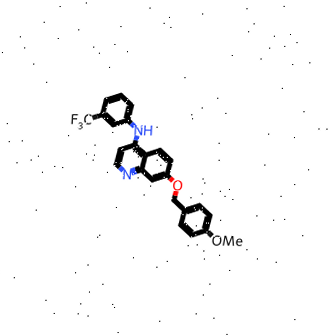 COc1ccc(COc2ccc3c(Nc4cccc(C(F)(F)F)c4)ccnc3c2)cc1